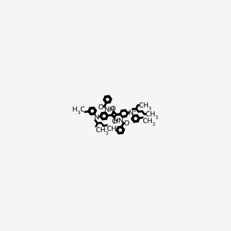 CCCCC(CC)CN(c1cccc(CC)c1)c1ccc(C2=C([O-])/C(=C3C=C/C(=[N+](\CC(CC)CCCC)c4cccc(CC)c4)C=C/3NC(=O)c3ccccc3)C2=O)c(NC(=O)c2ccccc2)c1